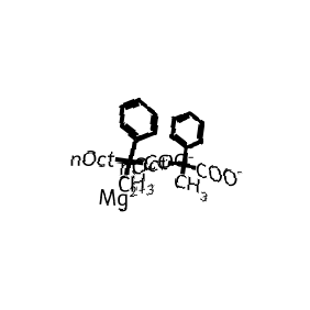 CCCCCCCCC(C)(C(=O)[O-])c1ccccc1.CCCCCCCCC(C)(C(=O)[O-])c1ccccc1.[Mg+2]